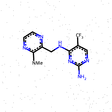 CNc1nccnc1CNc1nc(N)ncc1C(F)(F)F